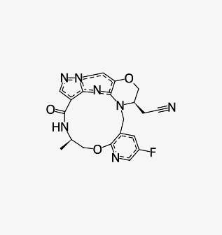 C[C@@H]1COc2ncc(F)cc2CN2c3nc4c(cnn4cc3OC[C@H]2CC#N)C(=O)N1